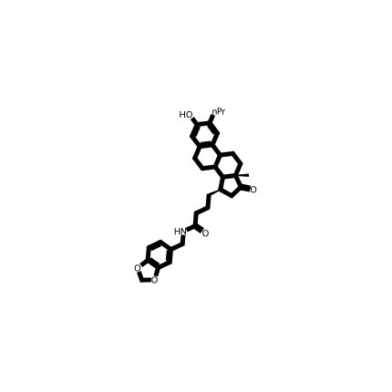 CCCc1cc2c(cc1O)CCC1C2CC[C@]2(C)C(=O)C[C@@H](CCCC(=O)NCc3ccc4c(c3)OCO4)C12